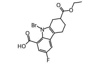 CCOC(=O)C1CCc2c(n(Br)c3c(C(=O)O)cc(F)cc23)C1